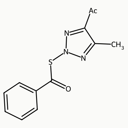 CC(=O)c1nn(SC(=O)c2ccccc2)nc1C